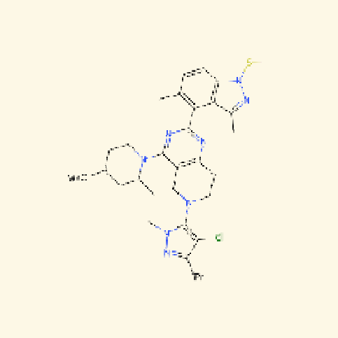 COC1CCN(c2nc(-c3c(C)ccc4c3c(C)nn4SI)nc3c2CN(c2c(Cl)c(C(C)C)nn2C)CC3)C(C)C1